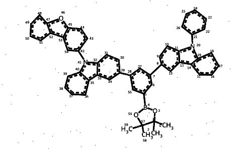 CC1(C)OB(c2cc(-c3ccc4c(c3)c3ccccc3n4-c3ccccc3)cc(-c3ccc4c(c3)c3ccccc3n4-c3ccc4oc5ccccc5c4c3)c2)OC1(C)C